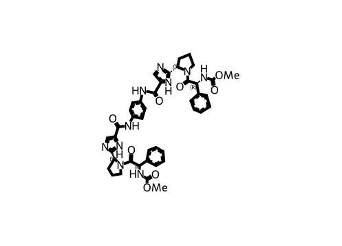 COC(=O)N[C@@H](C(=O)N1CCC[C@H]1c1ncc(C(=O)Nc2ccc(NC(=O)c3cnc([C@@H]4CCCN4C(=O)[C@H](NC(=O)OC)c4ccccc4)[nH]3)cc2)[nH]1)c1ccccc1